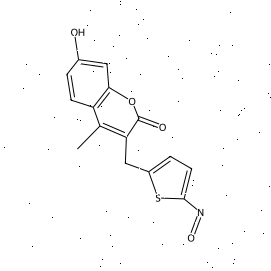 Cc1c(Cc2ccc(N=O)s2)c(=O)oc2cc(O)ccc12